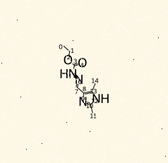 CCOC(=O)N/N=C/c1nc(C)[nH]c1C